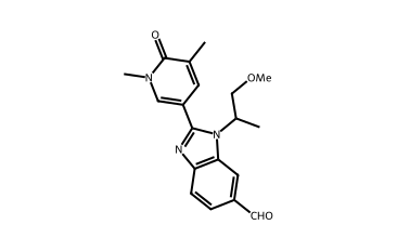 COCC(C)n1c(-c2cc(C)c(=O)n(C)c2)nc2ccc(C=O)cc21